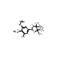 CCCCOc1cc(B2OC(C)(C)C(C)(C)O2)cc(Cl)c1C(=O)O